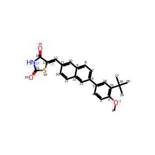 COc1ccc(-c2ccc3cc(/C=C4\SC(=O)NC4=O)ccc3c2)cc1C(C)(C)C